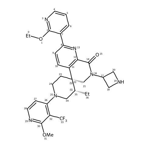 CCOc1ncccc1-c1ccc2c(n1)C(=O)N(C1CNC1)C[C@]21CCN(c2ccnc(OC)c2C(F)(F)F)C[C@H]1CC